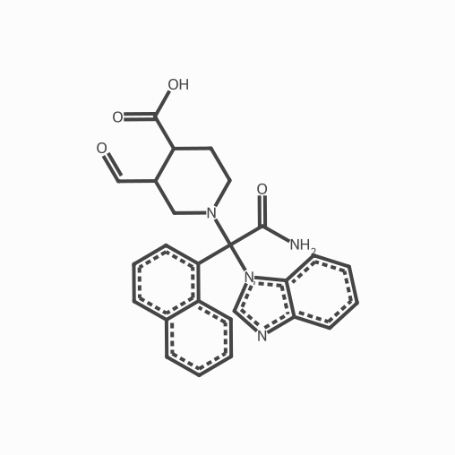 NC(=O)C(c1cccc2ccccc12)(N1CCC(C(=O)O)C(C=O)C1)n1cnc2ccccc21